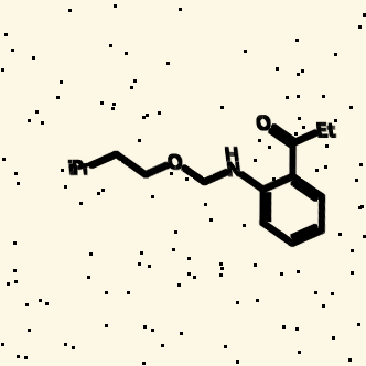 CCC(=O)c1ccccc1NCOCCC(C)C